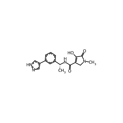 C[C@@H](NC(=O)C1=C(O)C(=O)N(C)C1)c1cccc(-c2cn[nH]c2)c1